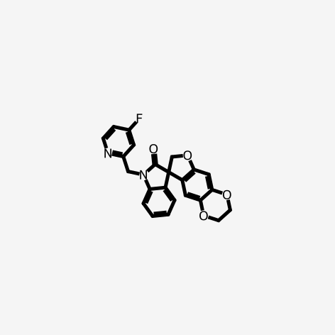 O=C1N(Cc2cc(F)ccn2)c2ccccc2C12COc1cc3c(cc12)OCCO3